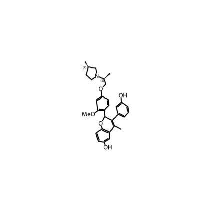 COc1cc(OC[C@H](C)N2CC[C@@H](C)C2)ccc1C1Oc2ccc(O)cc2C(C)=C1c1cccc(O)c1